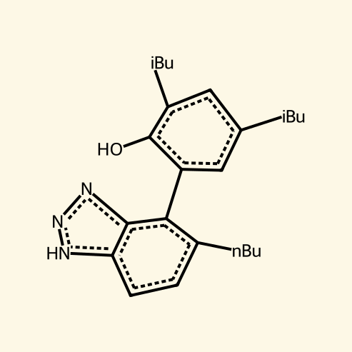 CCCCc1ccc2[nH]nnc2c1-c1cc(C(C)CC)cc(C(C)CC)c1O